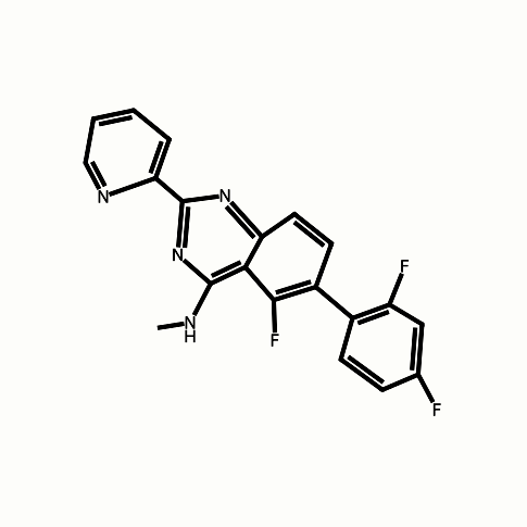 CNc1nc(-c2ccccn2)nc2ccc(-c3ccc(F)cc3F)c(F)c12